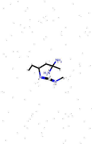 CCC(CC(C)(N)N)N=C=NC